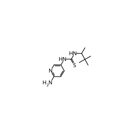 CC(NC(=S)Nc1ccc(N)nc1)C(C)(C)C